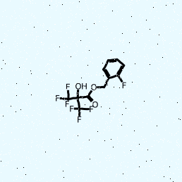 O=C(OCc1ccccc1F)C(O)(C(F)(F)F)C(F)(F)F